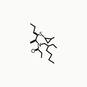 C=C(/C(=C/CC)S[C@@H]1CC1C)N(CC(CC)CCCC)C(=O)CC